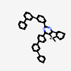 C[Si]1(C)c2ccccc2-c2nc(-c3cccc(-c4cccc(-c5ccccc5)c4)c3)nc(-c3ccc(-c4cccc(-c5ccccc5)c4)cc3)c21